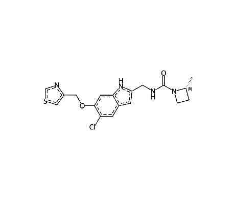 C[C@@H]1CCN1C(=O)NCc1cc2cc(Cl)c(OCc3cscn3)cc2[nH]1